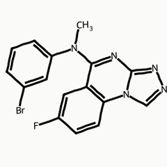 CN(c1cccc(Br)c1)c1nc2nncn2c2ccc(F)cc12